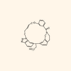 O=C(O)CC1c2ccc3c(c2)CN(CC3)C(=O)c2cccc(c2)OC/C=C/CCn2nnc3ccc1cc32